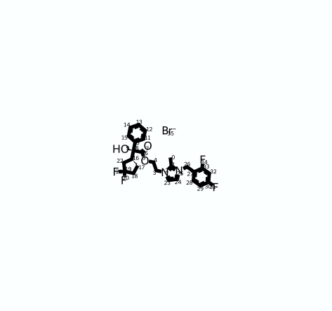 Cc1n(CCOC(=O)[C@](O)(c2ccccc2)[C@@H]2CCC(F)(F)C2)cc[n+]1Cc1ccc(F)cc1F.[Br-]